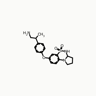 CC(CN)c1ccc(Oc2ccc3c(c2)S(=O)(=O)NC2CCCN32)cc1